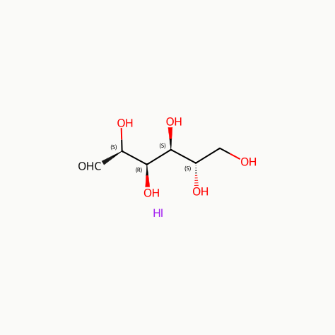 I.O=C[C@@H](O)[C@H](O)[C@@H](O)[C@@H](O)CO